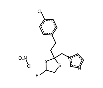 CCC1CSC(CCc2ccc(Cl)cc2)(Cn2ccnc2)S1.O=[N+]([O-])O